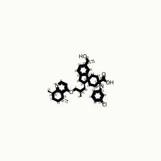 C[C@@H](COc1ccnc2c1[C@H](C)CC[C@H]2C)C[C@H]1Cc2ccc([C@@H](C)O)cc2C12CCC(Nc1cccc(Cl)c1)(C(=O)O)CC2